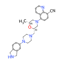 C[C@@H]1CN(c2ccc(C#N)c3ncccc23)C[C@H](CN2CCN(c3ccc4c(c3)CNC4)CC2)O1